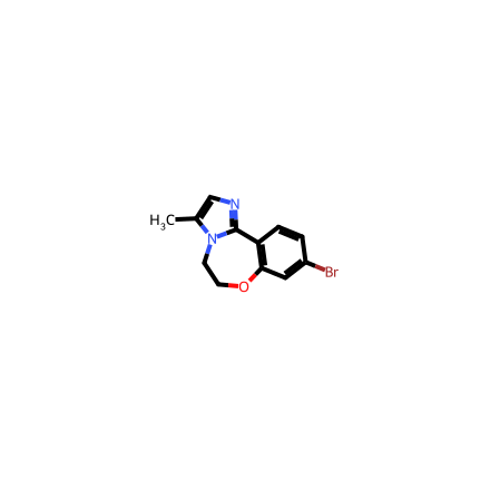 Cc1cnc2n1CCOc1cc(Br)ccc1-2